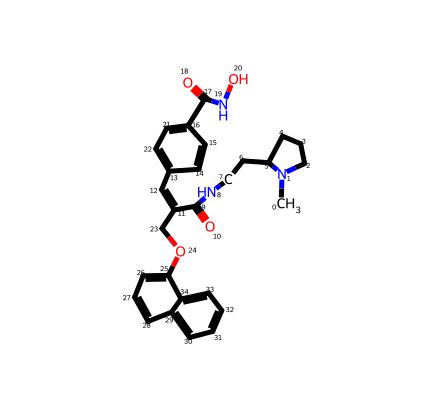 CN1CCCC1CCNC(=O)C(=Cc1ccc(C(=O)NO)cc1)COc1cccc2ccccc12